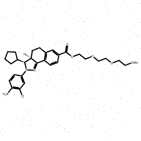 COCCOCCOCCOC(=O)c1ccc2c(c1)CC[C@H]1C2=NN(c2ccc(N)c(Cl)c2)[C@H]1C1CCCC1